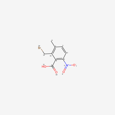 Cc1ccc([N+](=O)[O-])c(C(=O)O)c1CBr